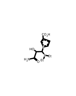 CCN(CC)C(C(O)C(N)=O)n1ccc(C(=O)O)c1